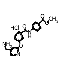 COC(=O)c1ccc(NC(=O)c2cccc(Oc3cc(CN)ccn3)c2)cc1.Cl